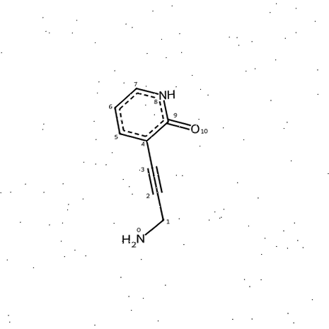 NCC#Cc1ccc[nH]c1=O